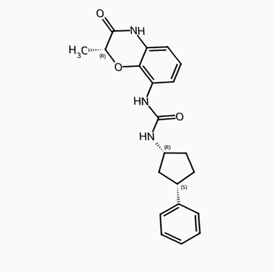 C[C@H]1Oc2c(NC(=O)N[C@@H]3CC[C@H](c4ccccc4)C3)cccc2NC1=O